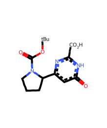 CC(C)(C)OC(=O)N1CCCC1c1cc(=O)[nH]c(C(=O)O)n1